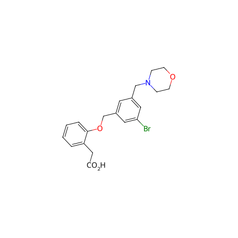 O=C(O)Cc1ccccc1OCc1cc(Br)cc(CN2CCOCC2)c1